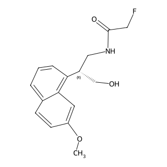 COc1ccc2cccc([C@@H](CO)CNC(=O)CF)c2c1